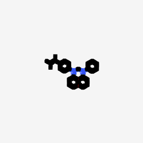 CC(C)=C(C)c1ccc(N(CN(c2ccccc2)c2ccccc2)c2ccccc2)cc1